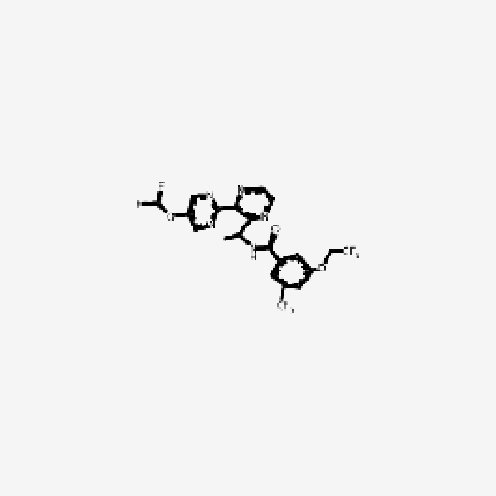 CC(NC(=O)c1cc(OCC(F)(F)F)cc(C(F)(F)F)c1)c1nccnc1-c1ncc(OC(F)F)cn1